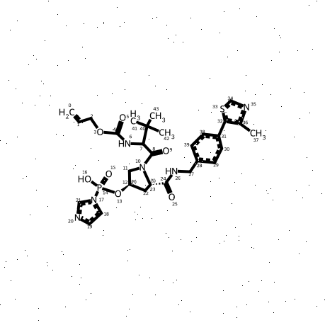 C=CCOC(=O)NC(C(=O)N1C[C@H](OP(=O)(O)n2ccnc2)C[C@H]1C(=O)NCc1ccc(-c2scnc2C)cc1)C(C)(C)C